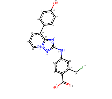 O=C(O)c1ccc(Nc2nc3c(-c4ccc(O)cc4)cccn3n2)cc1CF